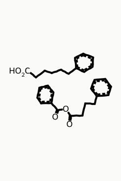 O=C(CCCc1ccccc1)OC(=O)c1ccccc1.O=C(O)CCCCCc1ccccc1